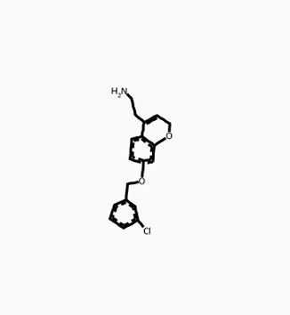 NCCC1=CCOc2cc(OCc3cccc(Cl)c3)ccc21